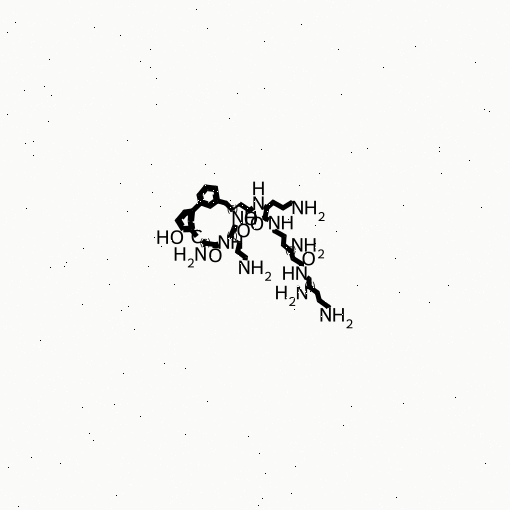 NCCCC(NC(=O)C[C@@H]1Cc2cccc(c2)-c2ccc(O)c(c2)C[C@H](N)C(=O)N[C@@H](CCCN)C(=O)N1)C(=O)NCCC[C@H](N)CC(=O)NC[C@@H](N)CCCN